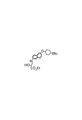 CCOC(=O)C(O)CN(C)c1ccc2cc(OC3CCC(C(C)(C)C)CC3)ccc2c1